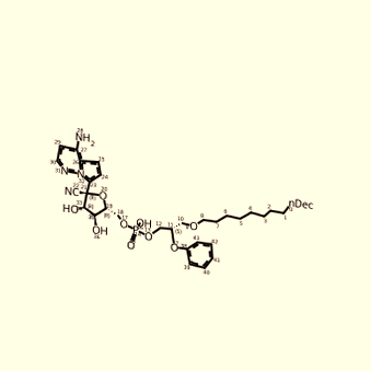 CCCCCCCCCCCCCCCCCCOC[C@@H](COP(=O)(O)OC[C@H]1O[C@@](C#N)(c2ccc3c(N)ccnn23)[C@H](O)[C@@H]1O)Oc1ccccc1